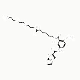 COc1ccc(NC(=O)c2cn3ccsc3n2)cc1C(=O)NCCCCCC(=O)NCCOCCOCCN